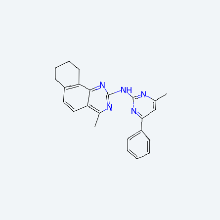 Cc1cc(-c2ccccc2)nc(Nc2nc(C)c3ccc4c(c3n2)CCCC4)n1